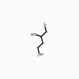 CCCCCC(O)CCl